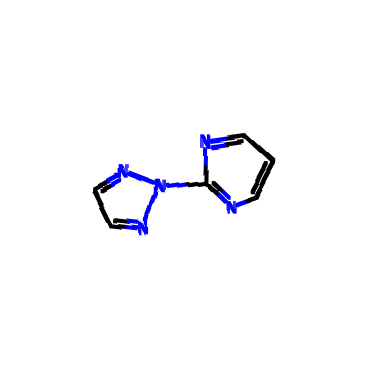 c1cnc(-n2nccn2)nc1